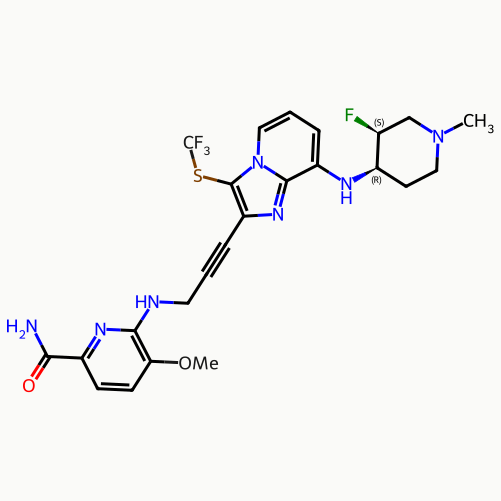 COc1ccc(C(N)=O)nc1NCC#Cc1nc2c(N[C@@H]3CCN(C)C[C@@H]3F)cccn2c1SC(F)(F)F